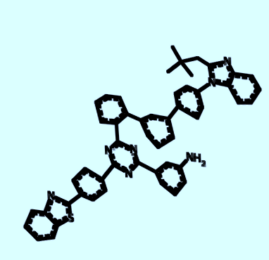 CC(C)(C)Cc1nc2ccccc2n1-c1ccc(-c2cccc(-c3ccccc3-c3nc(-c4ccc(-c5nc6ccccc6s5)cc4)nc(-c4cccc(N)c4)n3)c2)cc1